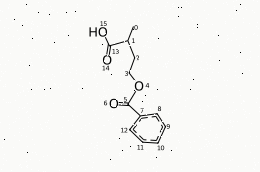 [CH2]C(CCOC(=O)c1ccccc1)C(=O)O